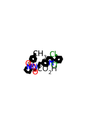 Cc1ccc(S(=O)(=O)N2CCCC[C@H]2C(=O)NC(Cc2ccc3nc(-c4c(Cl)cccc4Cl)ccc3c2)C(=O)O)cc1